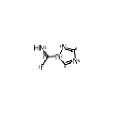 N=C(F)n1cncn1